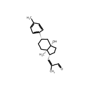 CC(C=O)=C[C@H]1CC[C@]2(O)C[C@@H](c3ccc(C)cc3)CC[C@]12C